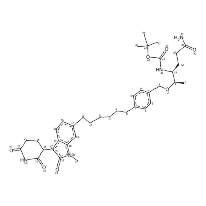 C[C@@H](OCc1ccc(CCCCCCc2ccc3c(c2)n(C)c(=O)n3C2CCC(=O)NC2=O)cc1)[C@H](CCC(N)=O)NC(=O)OC(C)(C)C